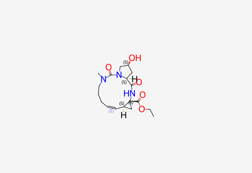 CCOC(=O)[C@@]12C[C@H]1/C=C\CCCN(C)C(=O)N1C[C@@H](O)C[C@H]1C(=O)N2